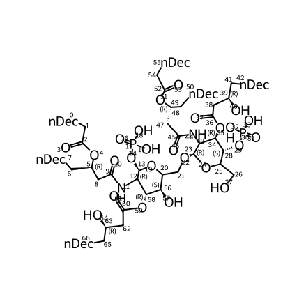 CCCCCCCCCCCC(=O)O[C@H](CCCCCCCCCCC)CC(=O)NC1[C@@H](OP(=O)(O)O)OC(CO[C@@H]2OC(CO)[C@@H](OP(=O)(O)O)[C@H](OC(=O)C[C@H](O)CCCCCCCCCCC)C2NC(=O)C[C@@H](CCCCCCCCCCC)OC(=O)CCCCCCCCCCC)[C@@H](O)[C@@H]1OC(=O)C[C@H](O)CCCCCCCCCCC